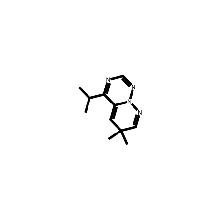 CC(C)C1=NC=NN2N=CC(C)(C)C=C12